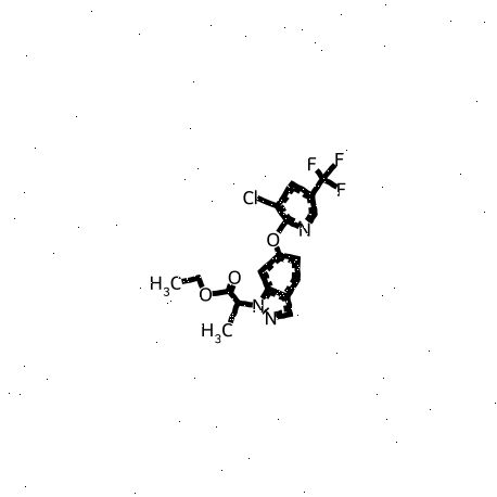 CCOC(=O)C(C)n1ncc2ccc(Oc3ncc(C(F)(F)F)cc3Cl)cc21